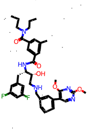 CCCN(CCC)C(=O)c1cc(C)cc(C(=O)N[C@@H](Cc2cc(F)cc(F)c2)[C@H](O)CNCc2cccc(-c3cnc(OC)nc3OC)c2)c1